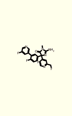 CN1C(=O)C(c2ccnc(CF)c2)(c2cc(-c3cncc(F)c3)c(F)cc2F)N=C1N